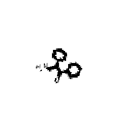 N/C=C(/C(=O)c1ccccc1)c1ccccc1